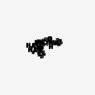 Cc1nnc(N2CCC(C(=O)NCCN3CCCC3)CC2)c2nn(-c3ccccc3)c(C)c12